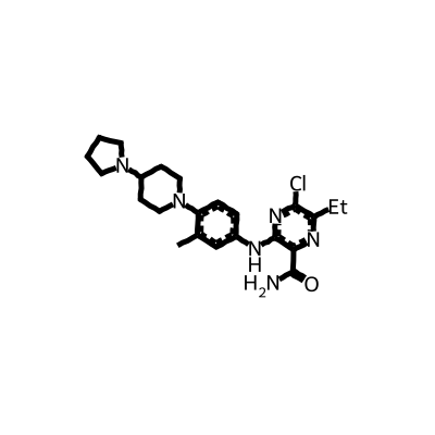 CCc1nc(C(N)=O)c(Nc2ccc(N3CCC(N4CCCC4)CC3)c(C)c2)nc1Cl